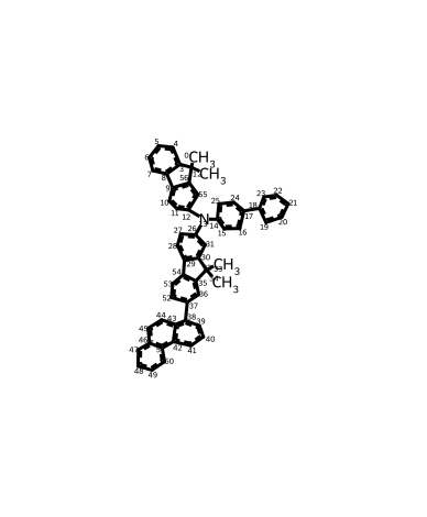 CC1(C)c2ccccc2-c2ccc(N(c3ccc(-c4ccccc4)cc3)c3ccc4c(c3)C(C)(C)c3cc(-c5cccc6c5ccc5ccccc56)ccc3-4)cc21